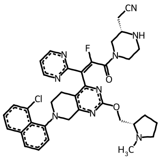 CN1CCC[C@H]1COc1nc2c(c(/C(=C(/F)C(=O)N3CCN[C@@H](CC#N)C3)c3ncccn3)n1)CCN(c1cccc3cccc(Cl)c13)C2